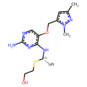 CCC[C@@H](Nc1nc(N)ncc1OCc1cc(C)nn1C)SCCO